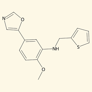 COc1ccc(-c2cnco2)cc1NCc1cccs1